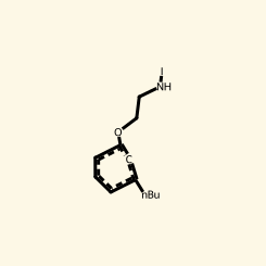 CCCCc1cccc(OCCNI)c1